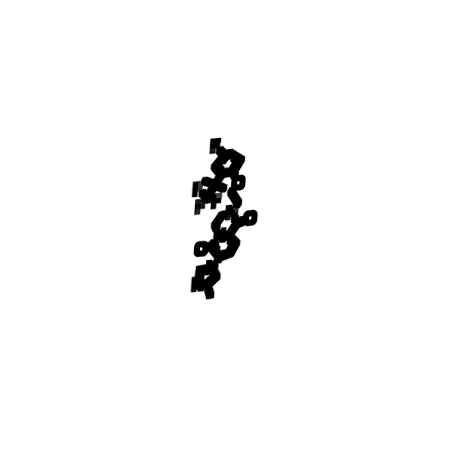 Cc1cn(-c2ccc3n(c2=O)CCN(CCOc2ccc(F)cc2C(C)(C)C(F)(F)F)C3=O)cn1